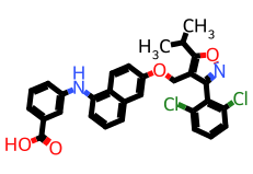 CC(C)c1onc(-c2c(Cl)cccc2Cl)c1COc1ccc2c(Nc3cccc(C(=O)O)c3)cccc2c1